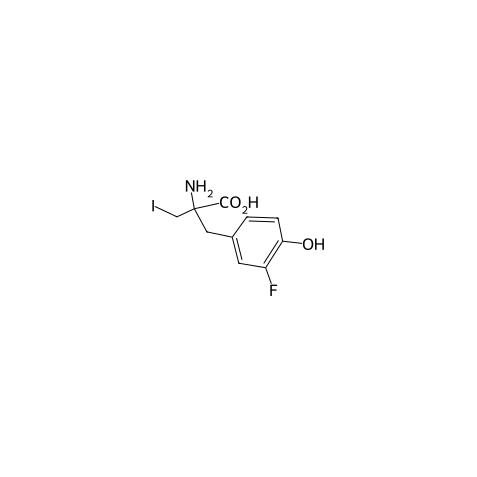 NC(CI)(Cc1ccc(O)c(F)c1)C(=O)O